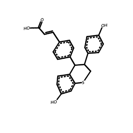 O=C(O)/C=C/c1ccc(C2c3ccc(O)cc3SCC2c2ccc(O)cc2)cc1